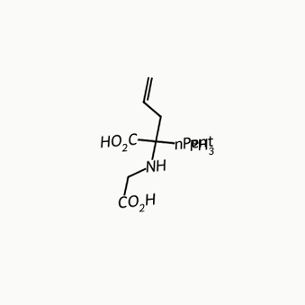 C=CCC(CCCCC)(NCC(=O)O)C(=O)O.P